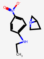 C1CN2CC12.CCNc1ccc([N+](=O)[O-])cc1